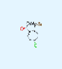 COC(=O)C1=CC=C(Cl)C=C=C1CBr